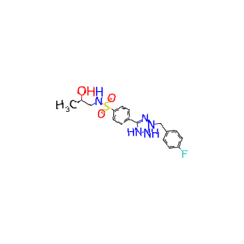 C[C@@H](O)CNS(=O)(=O)c1ccc(C2=NN(Cc3ccc(F)cc3)NN2)cc1